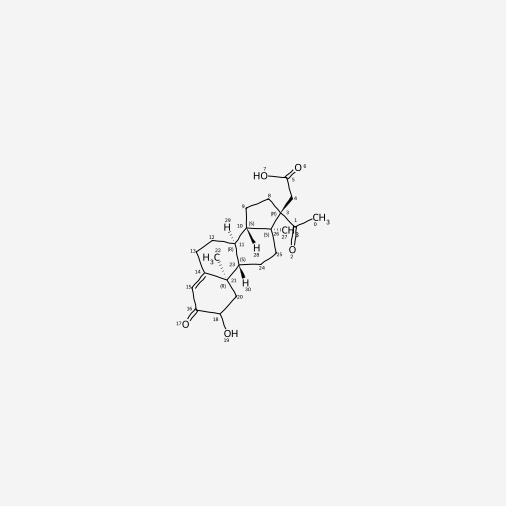 CC(=O)[C@@]1(CC(=O)O)CC[C@H]2[C@@H]3CCC4=CC(=O)C(O)C[C@]4(C)[C@H]3CC[C@@]21C